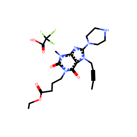 CC#CCn1c(N2CCNCC2)nc2c1c(=O)n(CCCC(=O)OCC)c(=O)n2C.O=C(O)C(F)(F)F